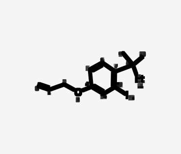 C=CCOc1ccc(C(C)(C)CC)c(I)c1